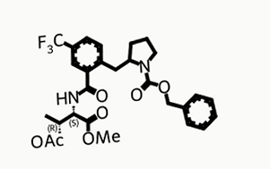 COC(=O)[C@@H](NC(=O)c1cc(C(F)(F)F)ccc1CC1CCCN1C(=O)OCc1ccccc1)[C@@H](C)OC(C)=O